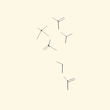 CC(=O)OC(C)(C)C.CC(=O)OC(C)C.CCOC(C)=O